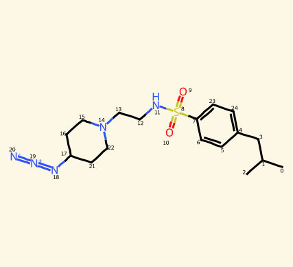 CC(C)Cc1ccc(S(=O)(=O)NCCN2CCC(N=[N+]=[N-])CC2)cc1